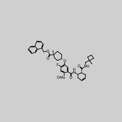 COc1cc(F)c(O[C@H]2CC[C@@](C)(C(=O)OCc3cccc4ccccc34)CC2)cc1C(=O)N[C@@H]1CC=CC[C@@H]1C(=O)NCC1(C)CCC1